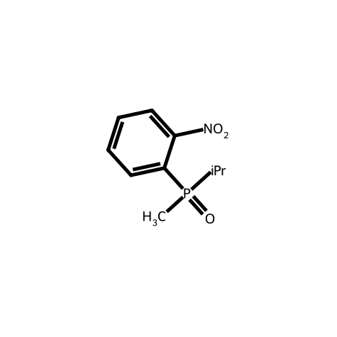 CC(C)P(C)(=O)c1ccccc1[N+](=O)[O-]